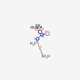 CC(CCOCCCCS(=O)(=O)O)n1cc(-c2nn(C3CCCCO3)c3ccc(O[Si](C)(C)C(C)(C)C)cc23)cn1